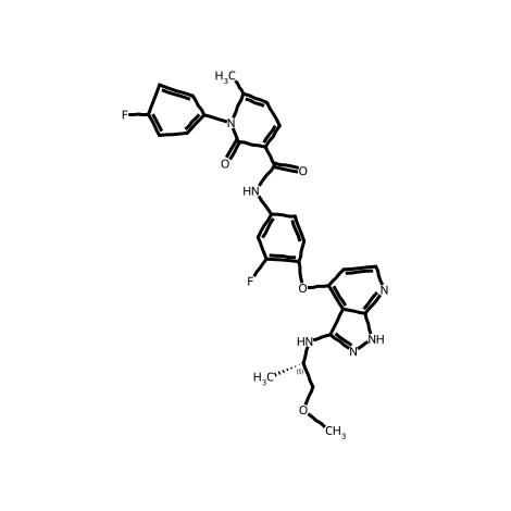 COC[C@H](C)Nc1n[nH]c2nccc(Oc3ccc(NC(=O)c4ccc(C)n(-c5ccc(F)cc5)c4=O)cc3F)c12